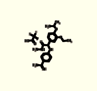 CCOc1cc(C(Nc2ccc(C(=N)N)cc2)C(=O)NN)ccc1OC(C)C.O=C(O)C(F)(F)F